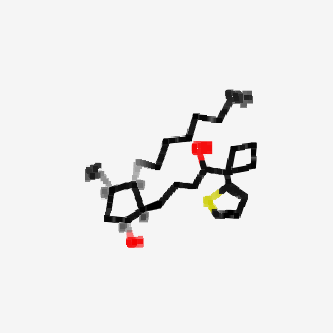 N#C[C@H]1C[C@@H](O)[C@H](CCCC(O)C2(c3cccs3)CCC2)[C@H]1CCCCCCC(=O)O